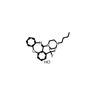 CCCCN1CCN(C2=Nc3ccccc3Oc3cccc(C(F)(F)F)c32)CC1.Cl